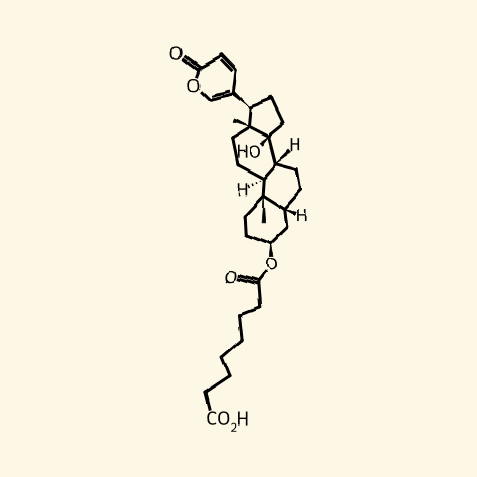 C[C@]12CC[C@H](OC(=O)CCCCCCC(=O)O)C[C@H]1CC[C@@H]1[C@@H]2CC[C@]2(C)[C@@H](c3ccc(=O)oc3)CC[C@]12O